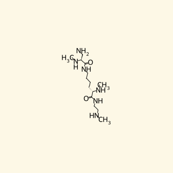 CNCCNC(=O)[C@H](CCCCNC(=O)[C@H](CN)NC)NC